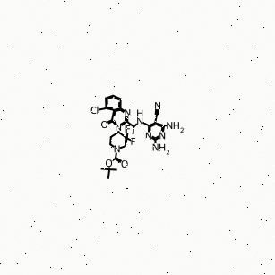 C[C@H](Nc1nc(N)nc(N)c1C#N)c1nc2cccc(Cl)c2c(=O)n1C1CCN(C(=O)OC(C)(C)C)CC1(F)F